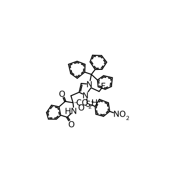 O=C1N[C@@](CC2=CN(C(c3ccccc3)(c3ccccc3)c3ccccc3)C(CF)N2[S+]([O-])c2ccc([N+](=O)[O-])cc2)(C(=O)O)C(=O)c2ccccc21